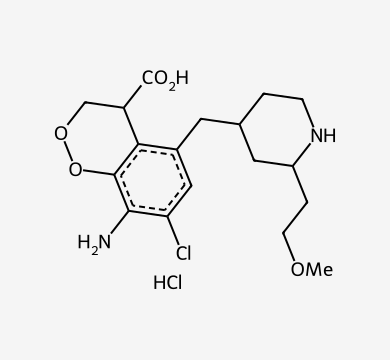 COCCC1CC(Cc2cc(Cl)c(N)c3c2C(C(=O)O)COO3)CCN1.Cl